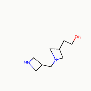 OCCC1CN(CC2CNC2)C1